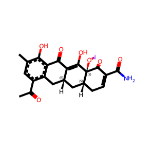 CC(=O)c1cc(C)c(O)c2c1C[C@H]1C[C@H]3CC=C(C(N)=O)C(=O)[C@@]3(OI)C(O)=C1C2=O